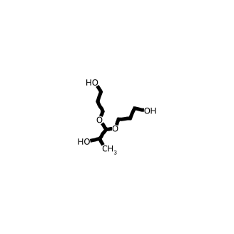 CC(O)C(OCCCO)OCCCO